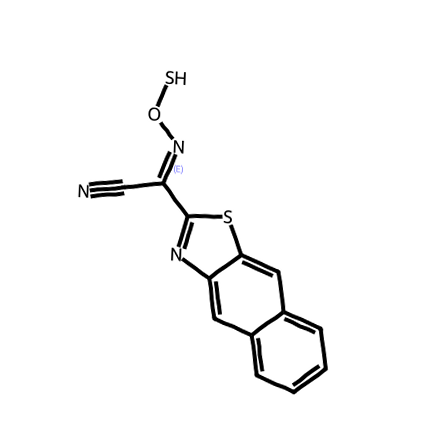 N#C/C(=N\OS)c1nc2cc3ccccc3cc2s1